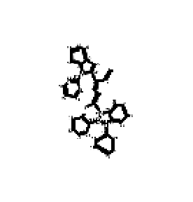 C=C/C(=C\C=C(/C)N1B(c2ccccc2)N(c2ccccc2)c2ccccc21)c1cc2ccccc2n1-c1ncccn1